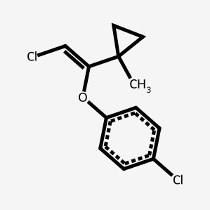 CC1(/C(=C/Cl)Oc2ccc(Cl)cc2)CC1